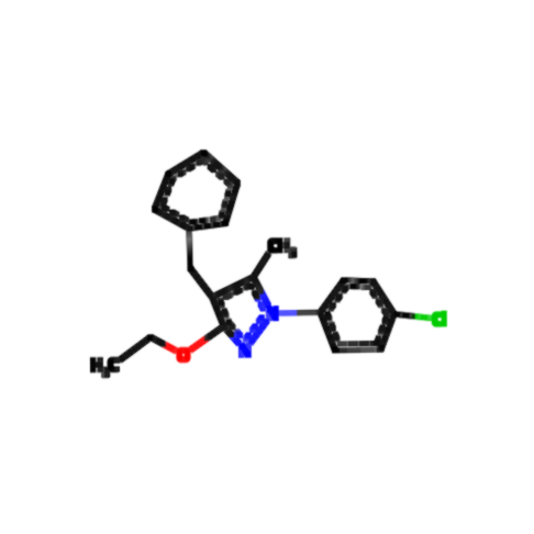 CCOc1nn(-c2ccc(Cl)cc2)c(C)c1Cc1ccccc1